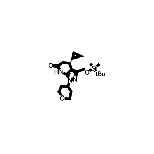 CC(C)(C)[Si](C)(C)OCc1nn(C2CCOCC2)c2c1[C@@H](C1CC1)CC(=O)N2